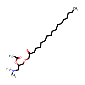 CCCCCCCCCCCCCCCCC(=O)COCC(CN(C)C)OC(C)=O